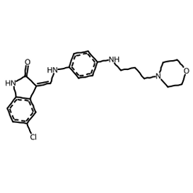 O=C1Nc2ccc(Cl)cc2C1=CNc1ccc(NCCCN2CCOCC2)cc1